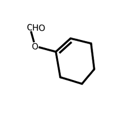 O=COC1=CCCCC1